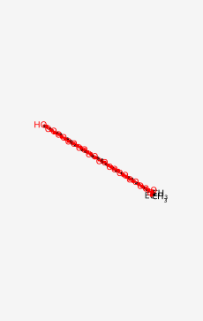 CCC(C)(C)C(=O)OCCOCCOCCOCCOCCOCCOCCOCCOCCOCCOCCOCCOCCOCCOCCOCCOCCOCCOCCOCCOCCO